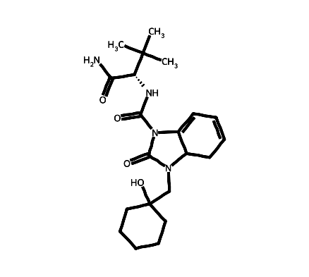 CC(C)(C)[C@H](NC(=O)N1C(=O)N(CC2(O)CCCCC2)C2CC=CC=C21)C(N)=O